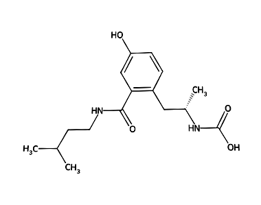 CC(C)CCNC(=O)c1cc(O)ccc1C[C@H](C)NC(=O)O